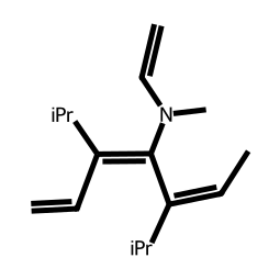 C=C/C(=C(\C(=C/C)C(C)C)N(C)C=C)C(C)C